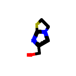 OCc1cn2c(n1)SCC2